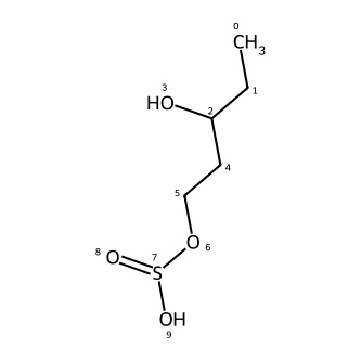 CCC(O)CCOS(=O)O